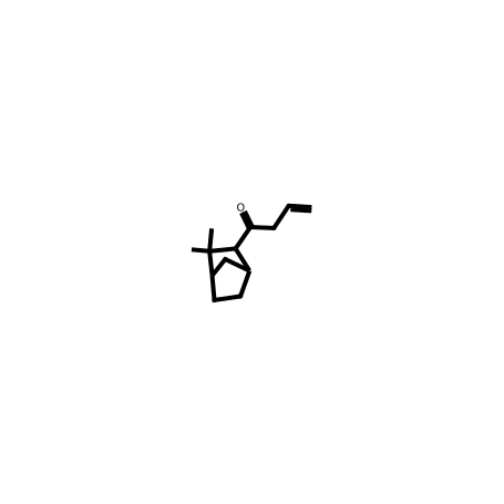 C=CCC(=O)C1C2CCC(C2)C1(C)C